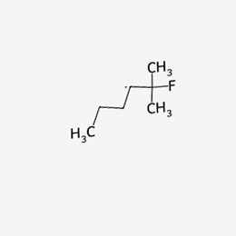 CCC[CH]C(C)(C)F